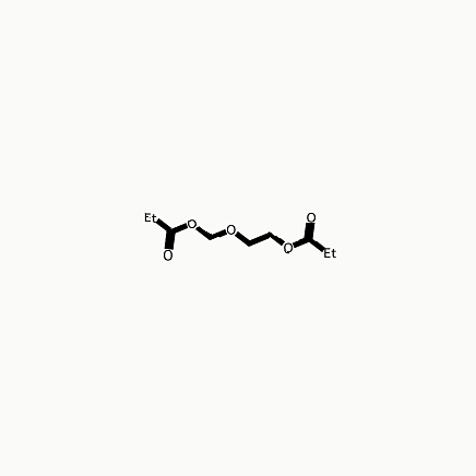 CCC(=O)OCCOCOC(=O)CC